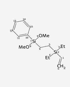 C=C[Si](CC)(CC)CC[Si](OC)(OC)c1ccccc1